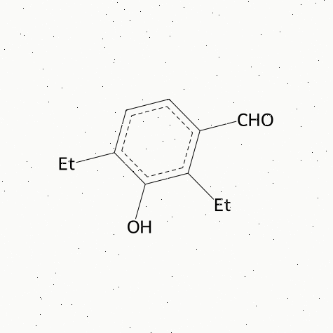 CCc1ccc(C=O)c(CC)c1O